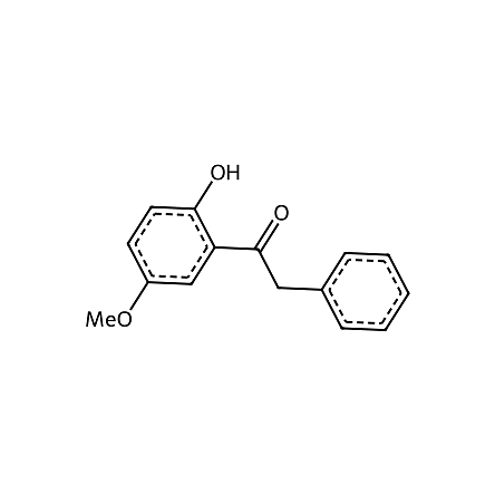 COc1ccc(O)c(C(=O)Cc2ccccc2)c1